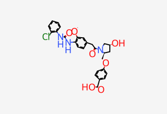 COc1cc(CC(=O)N2C[C@H](O)C[C@H]2COc2ccc(C(=O)O)cc2)ccc1NC(=O)Nc1ccccc1Cl